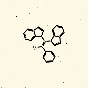 C[Si](c1ccccc1)=[Zr]([CH]1C=Cc2ccccc21)[CH]1C=Cc2ccccc21